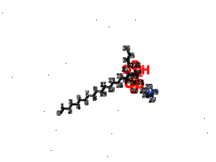 CCCCCCCCCCCCCCCCC(OP(=O)([O-])OCC[N+](C)(C)C)[C@H](CO)OC(=O)CCC